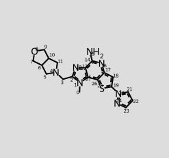 Cn1c(CN2CC3COCC3C2)nc2c(N)nc3cc(-n4cccn4)sc3c21